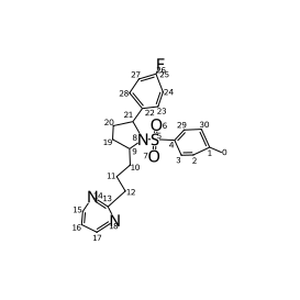 Cc1ccc(S(=O)(=O)N2C(CCCc3ncccn3)CCC2c2ccc(F)cc2)cc1